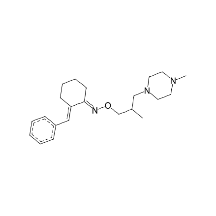 CC(CON=C1CCCCC1=Cc1ccccc1)CN1CCN(C)CC1